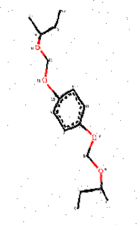 CCC(C)OCOc1ccc(OCOC(C)CC)cc1